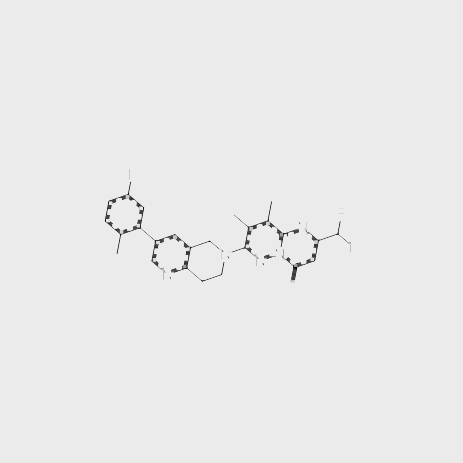 Cc1ccc(F)cc1-c1cnc2c(c1)CN(c1nn3c(=O)cc(C(F)F)nc3c(C)c1C)CC2